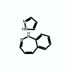 C1=Cc2ccccc2NN=C1.c1cn[nH]c1